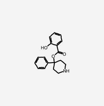 O=C(OC1(c2ccccc2)CCNCC1)c1ccccc1O